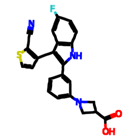 N#Cc1sccc1-c1c(-c2cccc(N3CC(C(=O)O)C3)c2)[nH]c2ccc(F)cc12